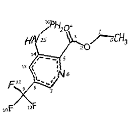 CCOC(=O)c1ncc(C(F)(F)F)cc1NP